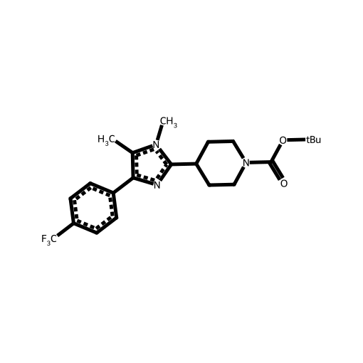 Cc1c(-c2ccc(C(F)(F)F)cc2)nc(C2CCN(C(=O)OC(C)(C)C)CC2)n1C